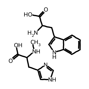 CNC(Cc1c[nH]cn1)C(=O)O.NC(Cc1c[nH]c2ccccc12)C(=O)O